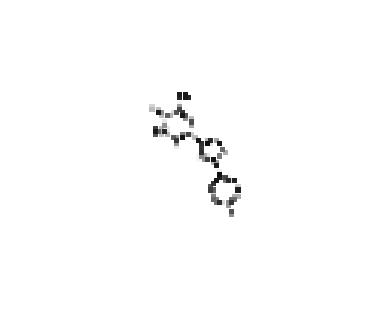 Cc1ccc(-c2nc(-c3cc(C#N)c(=O)[nH]c3C)cs2)cc1